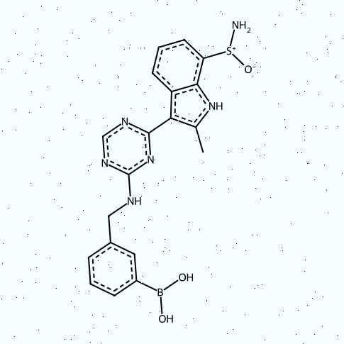 Cc1[nH]c2c([S+](N)[O-])cccc2c1-c1ncnc(NCc2cccc(B(O)O)c2)n1